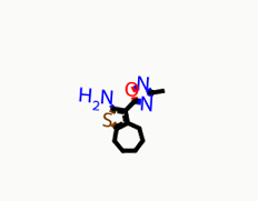 Cc1noc(-c2c(N)sc3c2CCCCC3)n1